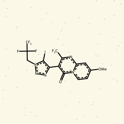 COc1ccn2c(=O)c(-c3nnn(CC(F)(F)C(F)(F)F)c3I)c(C(F)(F)F)nc2c1